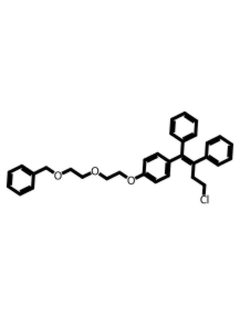 ClCCC(=C(c1ccccc1)c1ccc(OCCOCCOCc2ccccc2)cc1)c1ccccc1